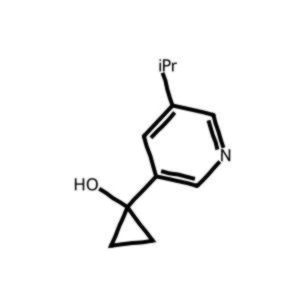 CC(C)c1cncc(C2(O)CC2)c1